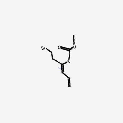 C=C/C=C(/CCBr)SC(=O)OC